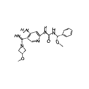 COC1CN(C(=N)c2cnc(NC(=O)NC(OC)c3ccccc3)cc2N)C1